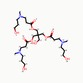 CN(CCCO)CCC(=O)OCC(CO)(COC(=O)CCN(C)CCCO)COC(=O)CCN(C)CCCO